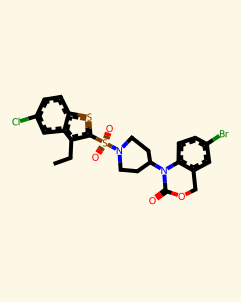 CCc1c(S(=O)(=O)N2CCC(N3C(=O)OCc4cc(Br)ccc43)CC2)sc2ccc(Cl)cc12